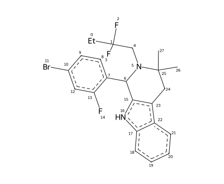 CCC(F)(F)CN1C(c2ccc(Br)cc2F)c2[nH]c3ccccc3c2CC1(C)C